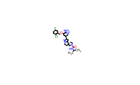 CC(C)NC(=O)N1CC[C@@]2(CCn3nc(-c4cnc(N)c(OCc5cc(F)ccc5Cl)c4)cc32)C1